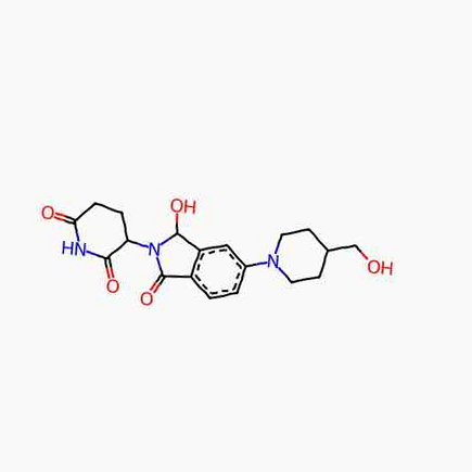 O=C1CCC(N2C(=O)c3ccc(N4CCC(CO)CC4)cc3C2O)C(=O)N1